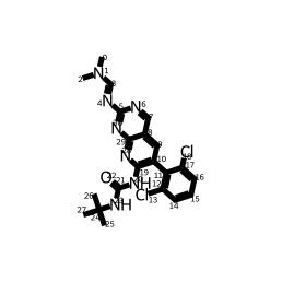 CN(C)C=Nc1ncc2cc(-c3c(Cl)cccc3Cl)c(NC(=O)NC(C)(C)C)nc2n1